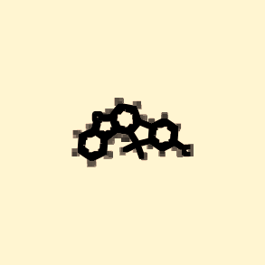 CC1(C)c2cc(Cl)ccc2-c2ccc3oc4ccccc4c3c21